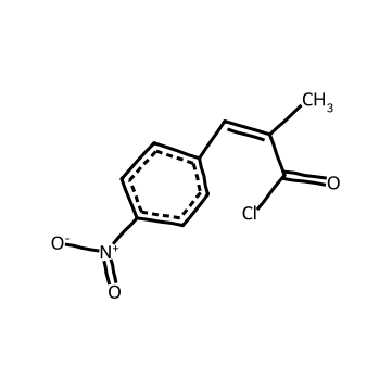 CC(=Cc1ccc([N+](=O)[O-])cc1)C(=O)Cl